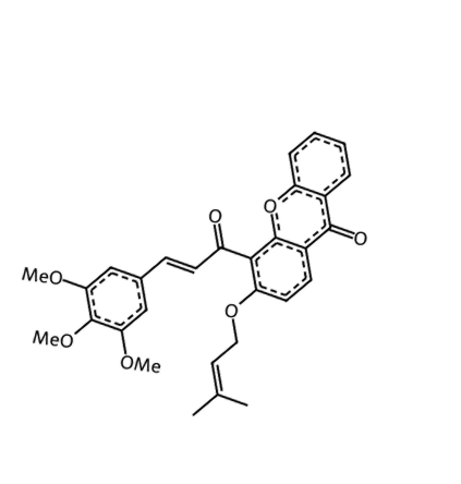 COc1cc(C=CC(=O)c2c(OCC=C(C)C)ccc3c(=O)c4ccccc4oc23)cc(OC)c1OC